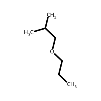 [CH2]C(C)[CH]OCCC